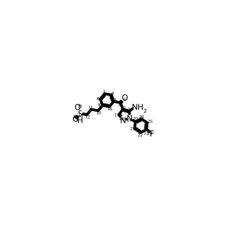 Nc1c(C(=O)c2cccc(CCC[SH](=O)=O)c2)cnn1-c1ccc(F)cc1